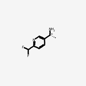 C[C@@H](N)c1ccc(C(F)F)nc1